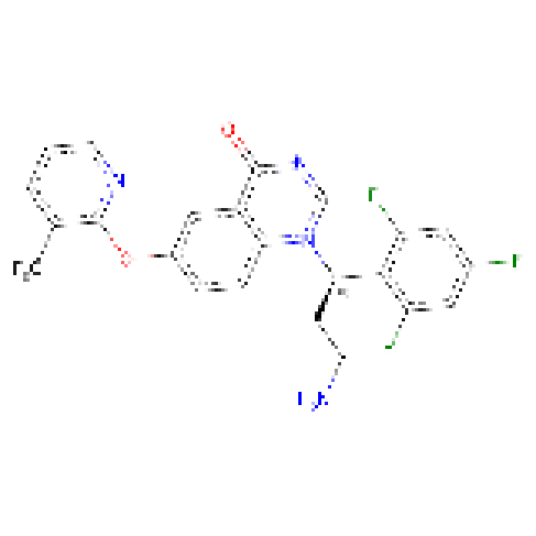 NCC[C@H](c1c(F)cc(F)cc1F)n1cnc(=O)c2cc(Oc3ncccc3C(F)(F)F)ccc21